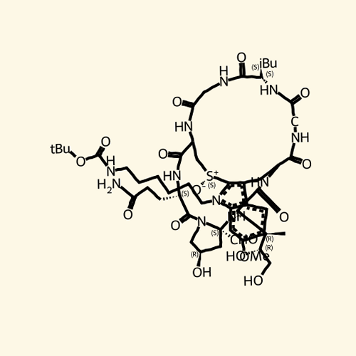 CC[C@H](C)[C@@H]1NC(=O)CNC(=O)C2Cc3c(n(CCCCCCNC(=O)OC(C)(C)C)c4cc(OC)ccc34)[S@+]([O-])CC(NC(=O)CNC1=O)C(=O)N[C@@H](CCC(N)=O)C(=O)N1C[C@H](O)C[C@]1(C=O)N[C@@H]([C@@H](C)[C@@H](O)CO)C(=O)N2